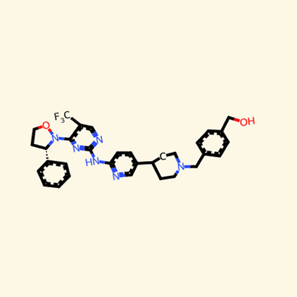 OCc1ccc(CN2CCC(c3ccc(Nc4ncc(C(F)(F)F)c(N5OCC[C@H]5c5ccccc5)n4)nc3)CC2)cc1